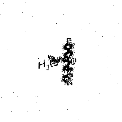 CS(=O)(=O)NCCn1cc(C(=O)c2ccn3c2CSC3c2cccnc2)c2ccc(-c3ccc(F)cc3)cc21